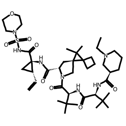 C=C[C@@H]1C[C@]1(NC(=O)[C@@H]1C[C@@]2(CN1C(=O)[C@@H](NC(=O)[C@@H](NC(=O)[C@@H]1CCCN(CC)C1)C(C)(C)C)C(C)(C)C)C(C)(C)C21CCC1)C(=O)NS(=O)(=O)N1CCOCC1